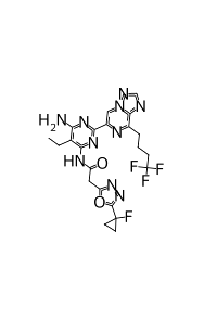 CCc1c(N)nc(-c2cn3ncnc3c(CCCC(F)(F)F)n2)nc1NC(=O)Cc1nnc(C2(F)CC2)o1